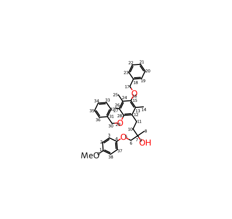 COc1ccc(OCC(C)(O)CCc2c(C)c(OCc3ccccc3)c(C)c(C)c2OCc2ccccc2)cc1